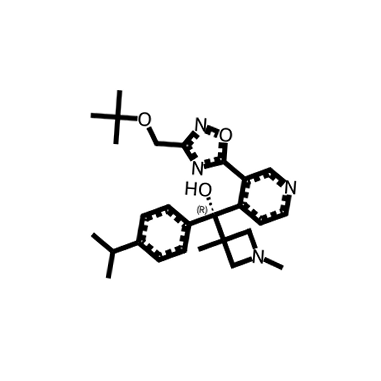 CC(C)c1ccc([C@@](O)(c2ccncc2-c2nc(COC(C)(C)C)no2)C2(C)CN(C)C2)cc1